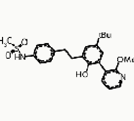 COc1ncccc1-c1cc(C(C)(C)C)cc(CCc2ccc(NS(C)(=O)=O)cc2)c1O